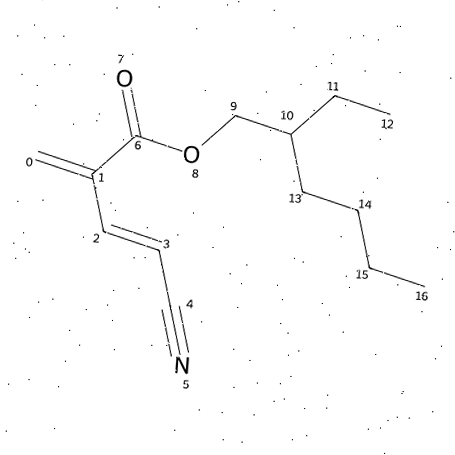 C=C(C=CC#N)C(=O)OCC(CC)CCCC